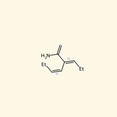 C=C(N)C(/C=C\CC)=C/CC